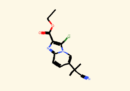 CCOC(=O)c1nc2ccc(C(C)(C)C#N)cn2c1Cl